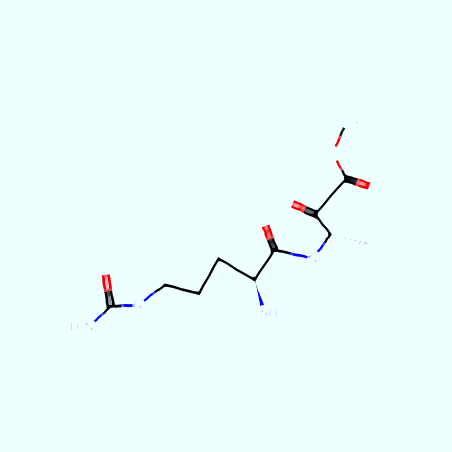 CC(C)[C@H](NC(=O)[C@@H](N)CCCNC(N)=O)C(=O)C(=O)OC(C)(C)C